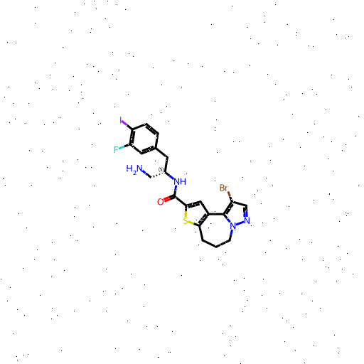 NC[C@H](Cc1ccc(I)c(F)c1)NC(=O)c1cc2c(s1)CCCn1ncc(Br)c1-2